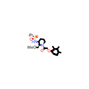 COC[C@H]1C(NS(=O)(=O)C(C)C)CCCN1C(=O)COc1ccc(C)c(C)c1C